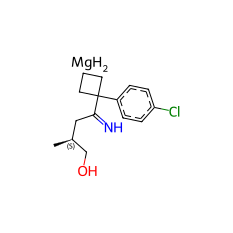 C[C@H](CO)CC(=N)C1(c2ccc(Cl)cc2)CCC1.[MgH2]